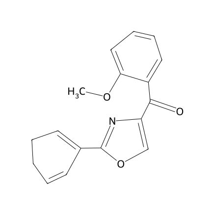 COc1ccccc1C(=O)c1coc(C2=CCCC=C2)n1